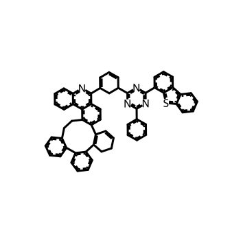 C1=CC(c2nc(-c3ccccc3)nc(-c3cccc4c3sc3ccccc34)n2)CC(c2nc3ccccc3c3c4c(ccc23)C2=C(CCC=C2)c2ccccc2-c2ccccc2CC4)=C1